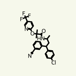 CC(CC(c1ccc(Cl)cc1)c1cccc(C#N)c1)NC(=O)C(C)(C)Oc1ccc(C(F)(F)F)cn1